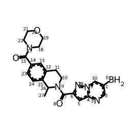 Bc1cnc2cc(C(=O)N3CCc4cc(C(=O)N5CCOCC5)ccc4C3C)nn2c1